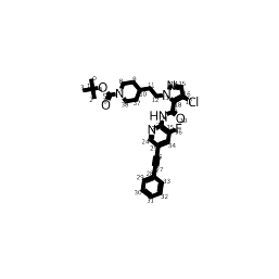 CC(C)(C)OC(=O)N1CCC(CCn2ncc(Cl)c2C(=O)Nc2ncc(C#Cc3ccccc3)cc2F)CC1